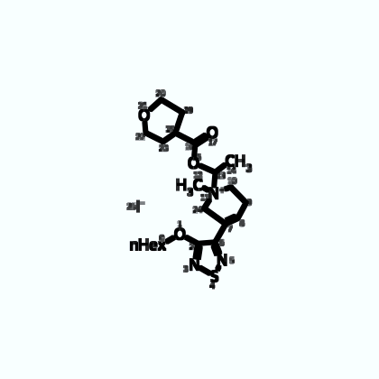 CCCCCCOc1nsnc1C1=CCC[N+](C)(C(C)OC(=O)C2CCOCC2)C1.[I-]